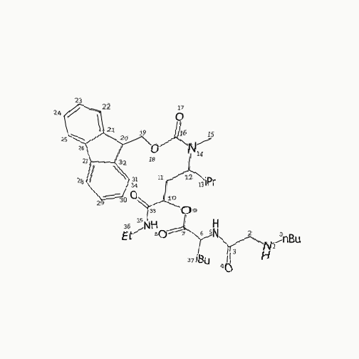 CCCCNCC(=O)NC(C(=O)OC(CC(C(C)C)N(C)C(=O)OCC1c2ccccc2-c2ccccc21)C(=O)NCC)C(C)CC